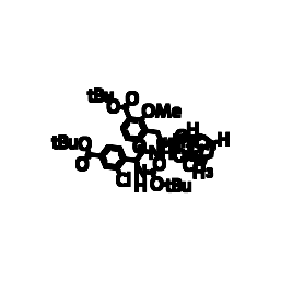 COc1c(C[C@H](NC(=O)C(NC(=O)OC(C)(C)C)c2ccc(C(=O)OC(C)(C)C)cc2Cl)B2O[C@@H]3C[C@@H]4C[C@@H](C4(C)C)[C@]3(C)O2)cccc1C(=O)OC(C)(C)C